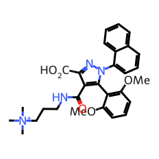 COc1cccc(OC)c1-c1c(C(=O)NCCC[N+](C)(C)C)c(C(=O)O)nn1-c1cccc2ccccc12